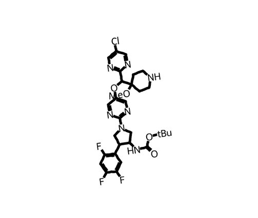 COC1(C(Oc2cnc(N3CC(NC(=O)OC(C)(C)C)C(c4cc(F)c(F)cc4F)C3)nc2)c2ncc(Cl)cn2)CCNCC1